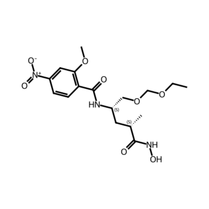 CCOCOC[C@H](C[C@H](C)C(=O)NO)NC(=O)c1ccc([N+](=O)[O-])cc1OC